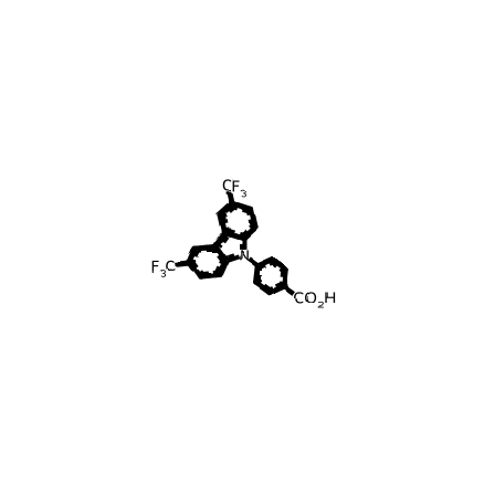 O=C(O)c1ccc(-n2c3ccc(C(F)(F)F)cc3c3cc(C(F)(F)F)ccc32)cc1